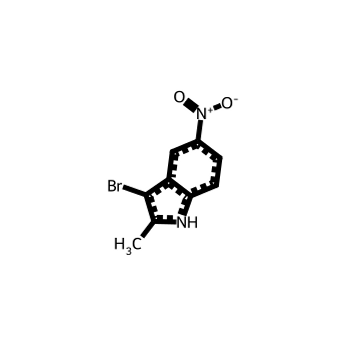 Cc1[nH]c2ccc([N+](=O)[O-])cc2c1Br